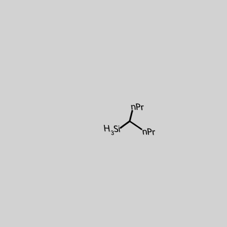 CCCC([SiH3])CCC